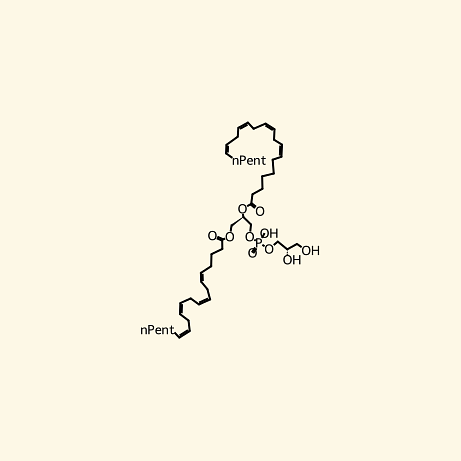 CCCCC/C=C\C/C=C\C/C=C\C/C=C\CCCCCC(=O)O[C@H](COC(=O)CCC/C=C\C/C=C\C/C=C\C/C=C\CCCCC)COP(=O)(O)OC[C@@H](O)CO